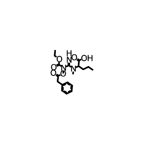 CCCC(C(=O)O)N(C)C(=N)N(OC(=O)Cc1ccccc1)C(=O)OCC